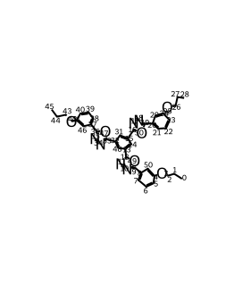 CCCOc1cccc(-c2nnc(-c3cc(-c4nnc(-c5cccc(OCCC)c5)o4)cc(-c4nnc(-c5cccc(OCCC)c5)o4)c3)o2)c1